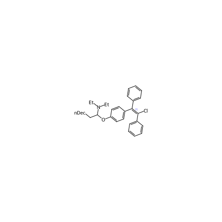 CCCCCCCCCCCC(Oc1ccc(/C(=C(/Cl)c2ccccc2)c2ccccc2)cc1)N(CC)CC